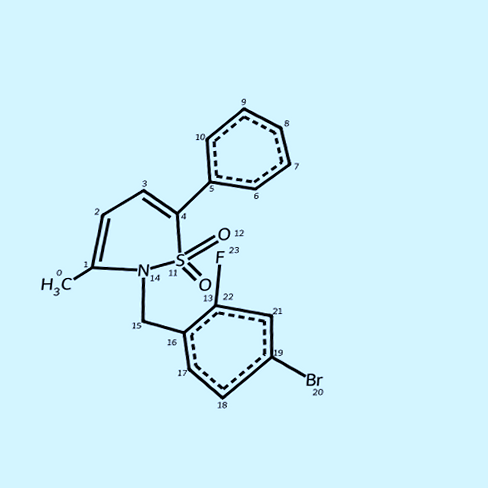 CC1=CC=C(c2ccccc2)S(=O)(=O)N1Cc1ccc(Br)cc1F